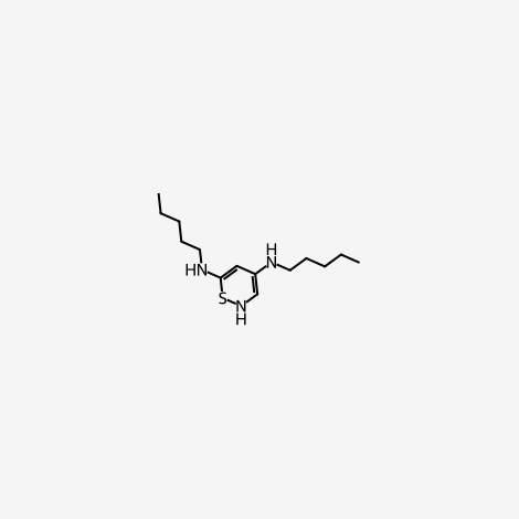 CCCCCNC1=CNSC(NCCCCC)=C1